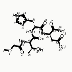 COCC(=O)N[C@@H](C(=O)N[C@H](Cc1c[nH]cn1)C(=O)N[C@H](CC(=O)O)C(N)=O)[C@H](C)O